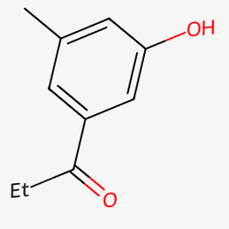 CCC(=O)c1cc(C)cc(O)c1